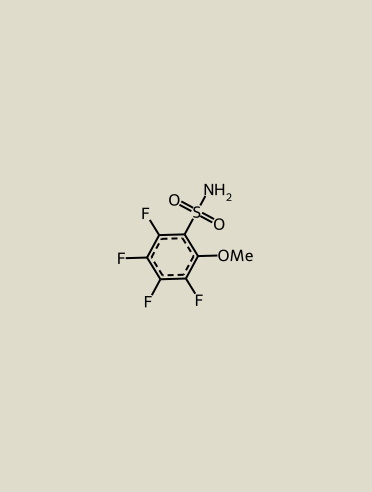 COc1c(F)c(F)c(F)c(F)c1S(N)(=O)=O